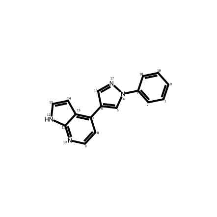 c1ccc(-n2cc(-c3ccnc4[nH]ccc34)cn2)cc1